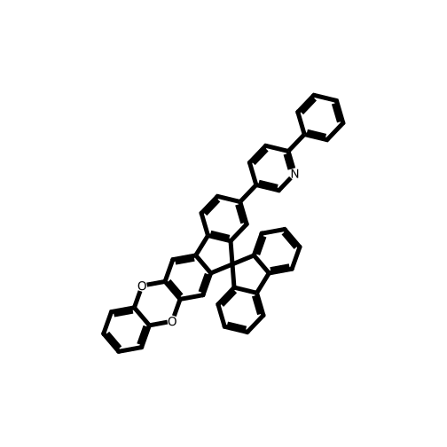 c1ccc(-c2ccc(-c3ccc4c(c3)C3(c5ccccc5-c5ccccc53)c3cc5c(cc3-4)Oc3ccccc3O5)cn2)cc1